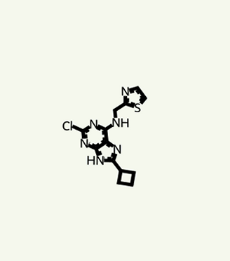 Clc1nc(NCc2nccs2)c2nc(C3CCC3)[nH]c2n1